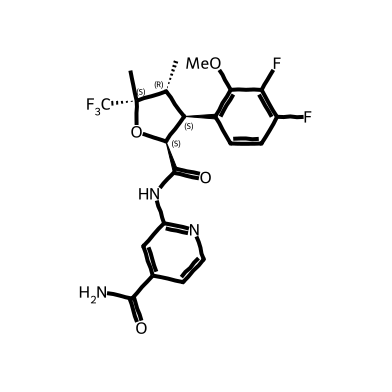 COc1c([C@H]2[C@@H](C(=O)Nc3cc(C(N)=O)ccn3)O[C@](C)(C(F)(F)F)[C@@H]2C)ccc(F)c1F